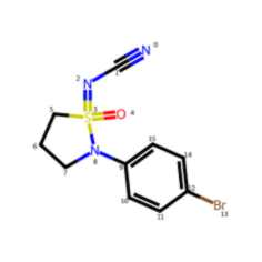 N#CN=S1(=O)CCCN1c1ccc(Br)cc1